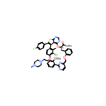 COC(=O)[C@@H](Cc1ccccc1OCc1ccnc(-c2ccccc2OC)n1)Oc1ncnc2sc(-c3ccc(F)cc3)c(-c3ccc(OCCN4CCN(C)CC4)c(Cl)c3C)c12